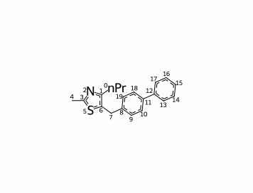 CCCc1nc(C)sc1Cc1ccc(-c2ccccc2)cc1